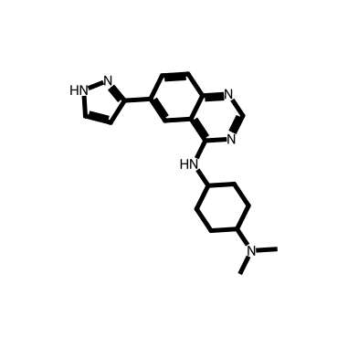 CN(C)C1CCC(Nc2ncnc3ccc(-c4cc[nH]n4)cc23)CC1